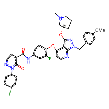 COc1ccc(Cn2nc(O[C@H]3CCCN(C)C3)c3c(Oc4ccc(NC(=O)c5ccnn(-c6ccc(F)cc6)c5=O)cc4F)ccnc32)cc1